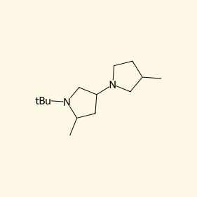 CC1CCN(C2CC(C)N(C(C)(C)C)C2)C1